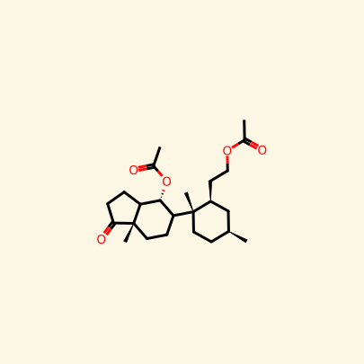 CC(=O)OCC[C@H]1C[C@@H](C)CC[C@]1(C)C1CC[C@]2(C)C(=O)CCC2[C@@H]1OC(C)=O